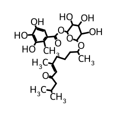 CC(=CC(=O)CC(C)C)CCCC(C)OC1OC(OC(=O)c2cc(O)c(O)c(O)c2C)C(O)C(O)C1O